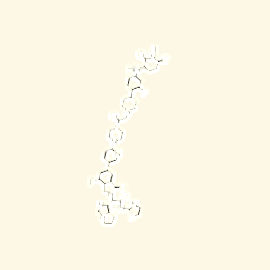 O=C1CC[C@H](Nc2ccc(C3CCN(CC(=O)N4CCN(c5ccc(-c6cc(F)c7c(c6)C(=O)N(C(C(=O)Nc6nccs6)c6ncn8c6CCC8)C7)cn5)CC4)CC3)c(F)c2)C(=O)N1